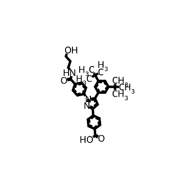 CC(C)(C)c1cc(-c2cc(-c3ccc(C(=O)O)cc3)nn2-c2ccc(C(=O)NCCCO)cc2)cc(C(C)(C)C)c1